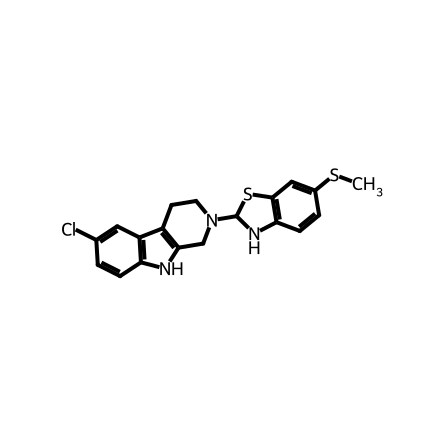 CSc1ccc2c(c1)SC(N1CCc3c([nH]c4ccc(Cl)cc34)C1)N2